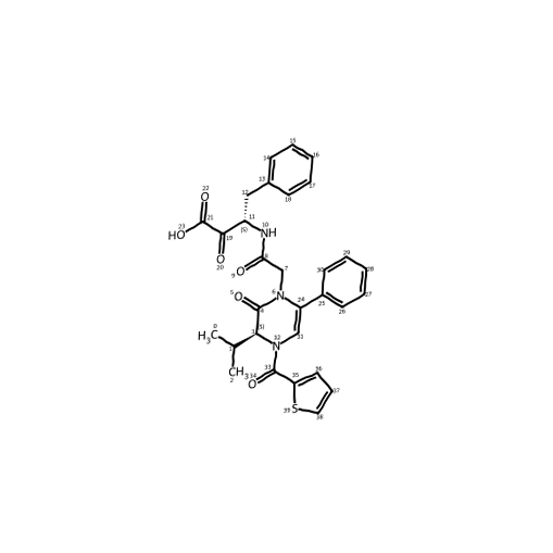 CC(C)[C@H]1C(=O)N(CC(=O)N[C@@H](Cc2ccccc2)C(=O)C(=O)O)C(c2ccccc2)=CN1C(=O)c1cccs1